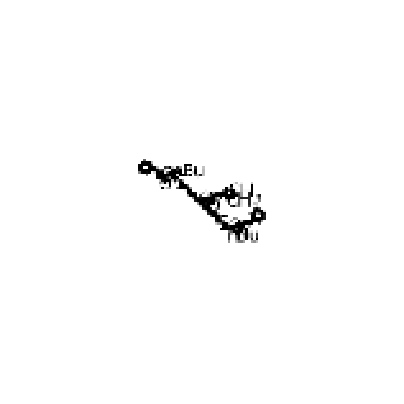 CCCCC(CSCCCCCC(CCCCCSCC(CCCC)OC(=O)CCC1CCCCC1)OC(=O)CCCN(C)C)OC(=O)CCC1CCCCC1